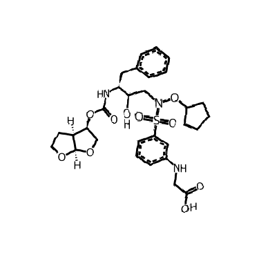 O=C(O)CNc1cccc(S(=O)(=O)N(C[C@@H](O)[C@H](Cc2ccccc2)NC(=O)O[C@H]2CO[C@H]3OCC[C@H]32)OC2CCCC2)c1